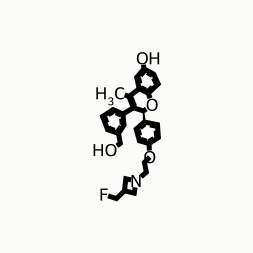 CC1=C(c2cccc(CO)c2)[C@H](c2ccc(OCCN3CC(CF)C3)cc2)Oc2ccc(O)cc21